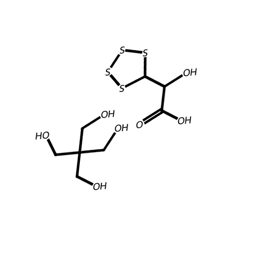 O=C(O)C(O)C1SSSS1.OCC(CO)(CO)CO